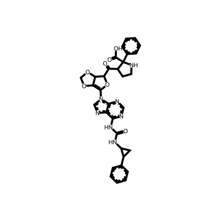 O=C(Nc1ncnc2c1ncn2C1=C2OCOC2C(C(=O)C2CCNC2(C(=O)O)c2ccccc2)O1)NC1CC1c1ccccc1